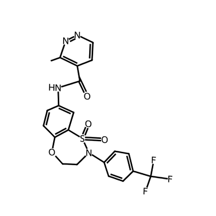 Cc1nnccc1C(=O)Nc1ccc2c(c1)S(=O)(=O)N(c1ccc(C(F)(F)F)cc1)CCO2